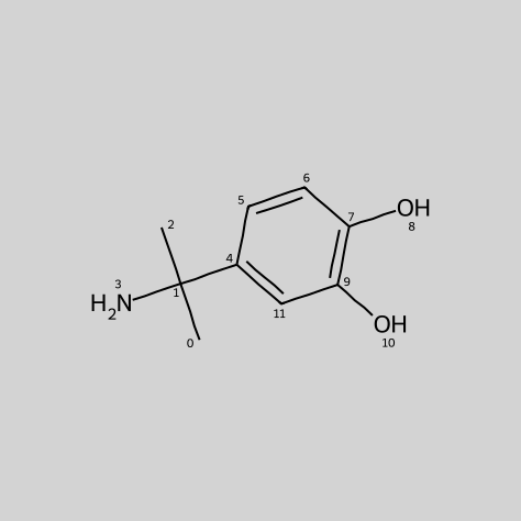 CC(C)(N)c1ccc(O)c(O)c1